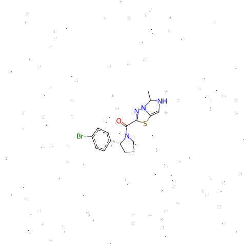 CC1NC=C2SC(C(=O)N3CCC[C@@H]3c3ccc(Br)cc3)=NN21